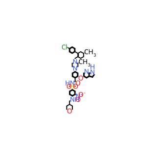 C[C@@H]1CCC(CN2CCN(c3ccc(C(=O)NS(=O)(=O)c4ccc(NCC5CCOCC5)c([N+](=O)[O-])c4)c(Oc4cnc5[nH]ccc5c4)c3)C[C@H]2C)=C(c2ccc(Cl)cc2)C1